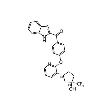 O=C(c1ccc(Oc2ncccc2[C@@H]2CC[C@](O)(C(F)(F)F)C2)cc1)c1nc2ccccc2[nH]1